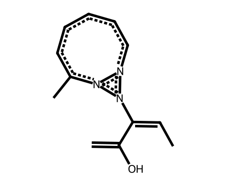 C=C(O)/C(=C\C)n1n2cccccc(C)n12